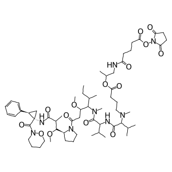 CCC(C)C(C(CC(=O)N1CCC[C@H]1C(OC)C(C)C(=O)N[C@@]1(C(=O)N2CCCCO2)C[C@@H]1c1ccccc1)OC)N(C)C(=O)C(NC(=O)C(C(C)C)N(C)CCCC(=O)OC(C)CNC(=O)CCCC(=O)ON1C(=O)CCC1=O)C(C)C